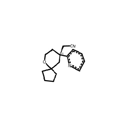 N#CC[C@]1(c2ccccn2)CCOC2(CCCC2)C1